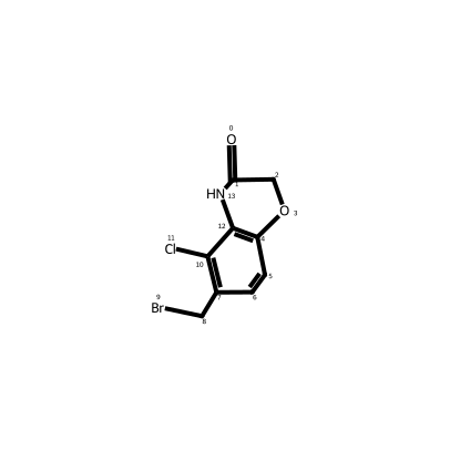 O=C1COc2ccc(CBr)c(Cl)c2N1